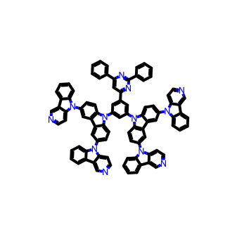 c1ccc(-c2cc(-c3cc(-n4c5ccc(-n6c7ccccc7c7cnccc76)cc5c5cc(-n6c7ccccc7c7cnccc76)ccc54)cc(-n4c5ccc(-n6c7ccccc7c7cnccc76)cc5c5cc(-n6c7ccccc7c7cnccc76)ccc54)c3)nc(-c3ccccc3)n2)cc1